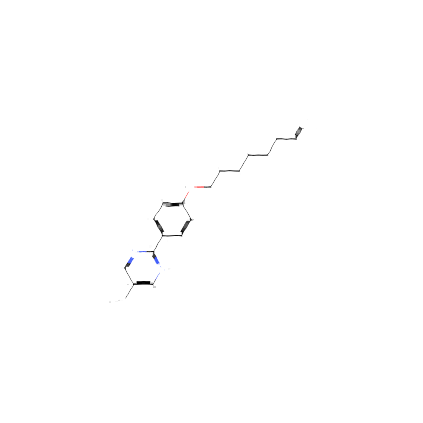 C=CCCCCCCOc1ccc(-c2ncc(CCCCCCCCCC)cn2)cc1